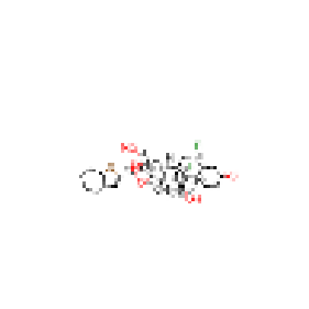 C[C@]12C=CC(=O)C=C1[C@@H](F)C[C@H]1[C@@H]3C[C@H]4O[C@@H](c5cc6c(s5)CCCC6)O[C@@]4(C(=O)CO)[C@@]3(C)C[C@H](O)[C@@]12F